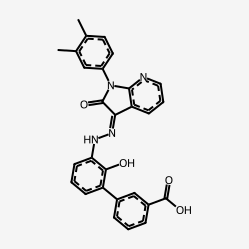 Cc1ccc(N2C(=O)C(=NNc3cccc(-c4cccc(C(=O)O)c4)c3O)c3cccnc32)cc1C